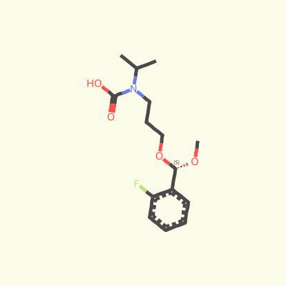 CO[C@@H](OCCCN(C(=O)O)C(C)C)c1ccccc1F